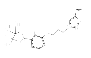 CC1(C)OC(c2cccc(OCCCn3cc(C=O)nn3)c2Cl)OC1(C)C